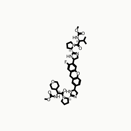 COC(=O)N[C@H](C(=O)N1CCC[C@H]1C1=NCC(c2cc3c(cc2F)Cc2cc(C4CN=C([C@@H]5CCCN5C(=O)[C@@H](NC(=O)OC)C5CCOCC5)N4)ccc2O3)N1)C(C)C